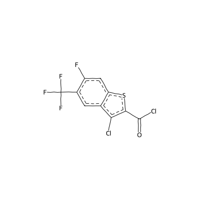 O=C(Cl)c1sc2cc(F)c(C(F)(F)F)cc2c1Cl